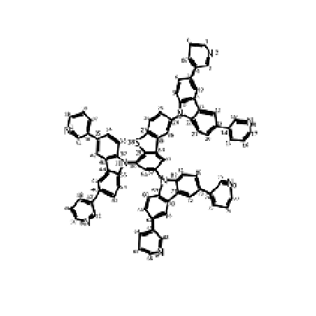 c1cncc(-c2ccc3c(c2)c2cc(-c4cccnc4)ccc2n3-c2ccc3sc4c(-n5c6ccc(-c7cccnc7)cc6c6cc(-c7cccnc7)ccc65)cc(-n5c6ccc(-c7cccnc7)cc6c6cc(-c7cccnc7)ccc65)cc4c3c2)c1